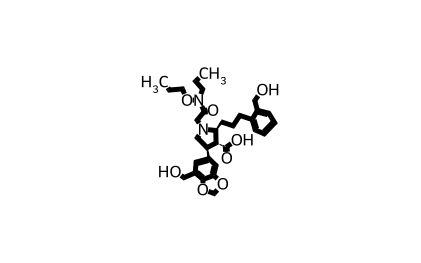 CCCON(CCC)C(=O)CN1C[C@H](c2cc(CO)c3c(c2)OCO3)[C@@H](C(=O)O)[C@@H]1CCCc1ccccc1CO